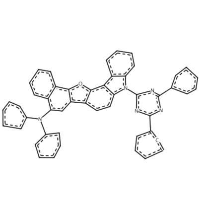 c1ccc(-c2nc(-c3ccccc3)nc(-n3c4ccccc4c4c5oc6c7ccccc7c(N(c7ccccc7)c7ccccc7)cc6c5ccc43)n2)cc1